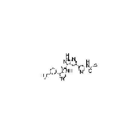 Cc1cccc(-c2cncc3[nH]c(-c4n[nH]c5ncc(-c6cncc(NC(=O)C7CC7)c6)cc45)nc23)c1